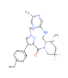 COc1ccc(-c2cn(C)nc2C(=O)N2CC(F)(F)C[C@@H](C)C2CNc2cnc(C(F)(F)F)cn2)cc1